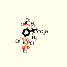 CCOP(=O)(CP(=O)(OCC)c1ccc(OC(=O)CC)c(C(C)(C)CC(=O)O)c1)OCC